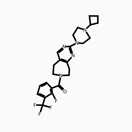 O=C(c1cccc(C(F)(F)F)c1F)N1CCc2cnc(N3CCN(C4CCC4)CC3)nc2CC1